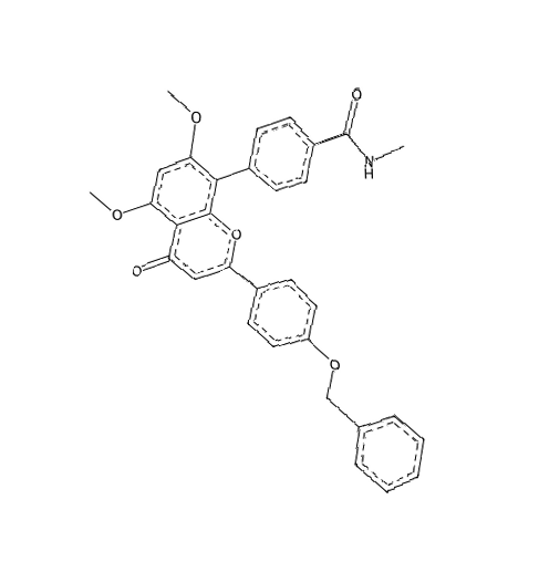 CNC(=O)c1ccc(-c2c(OC)cc(OC)c3c(=O)cc(-c4ccc(OCc5ccccc5)cc4)oc23)cc1